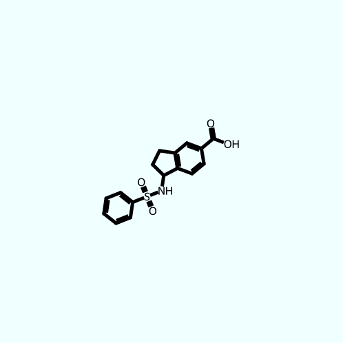 O=C(O)c1ccc2c(c1)CCC2NS(=O)(=O)c1ccccc1